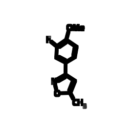 COc1ccc(-c2cc(C)on2)cc1F